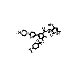 CCCc1cc(C)[nH]c(=O)c1CNC(=O)c1cc(-c2ccc(N3CCN(CC)CC3)nc2)c2c(c1C)OC(C)(C1CCC(N(C)C)CC1)O2